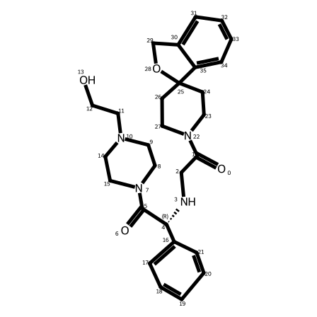 O=C(CN[C@@H](C(=O)N1CCN(CCO)CC1)c1ccccc1)N1CCC2(CC1)OCc1ccccc12